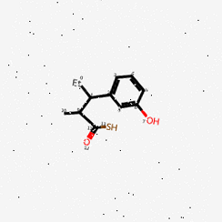 CCC(c1cccc(O)c1)C(C)C(=O)S